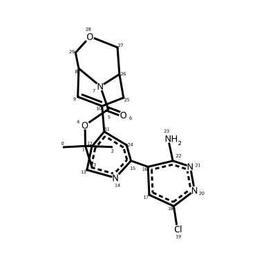 CC(C)(C)OC(=O)N1C2C=C(c3ccnc(-c4cc(Cl)nnc4N)c3)CC1COC2